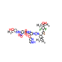 CC1(C)CCC(CN2CCN(c3ccc(C(=O)NS(=O)(=O)c4ccc(NC[C@H]5CC[C@](C)(O)CC5)c([N+](=O)[O-])c4)c(Oc4cnc5[nH]ccc5c4)c3)CC2)=C(c2cc(-c3c(F)cc(C(C)(C)O)cc3F)cs2)C1